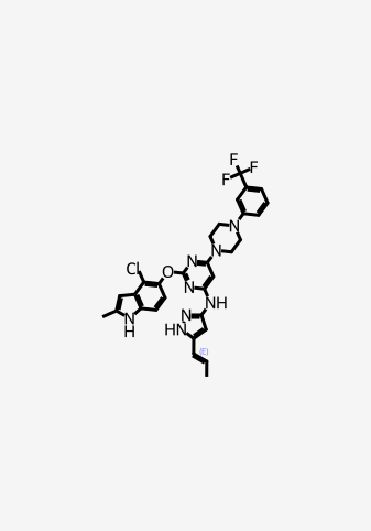 C/C=C/c1cc(Nc2cc(N3CCN(c4cccc(C(F)(F)F)c4)CC3)nc(Oc3ccc4[nH]c(C)cc4c3Cl)n2)n[nH]1